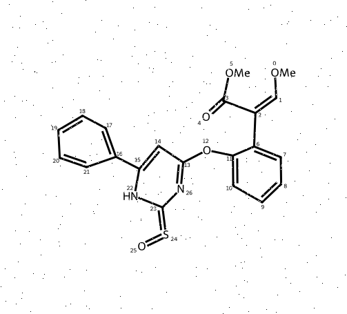 COC=C(C(=O)OC)c1ccccc1Oc1cc(-c2ccccc2)[nH]c(=S=O)n1